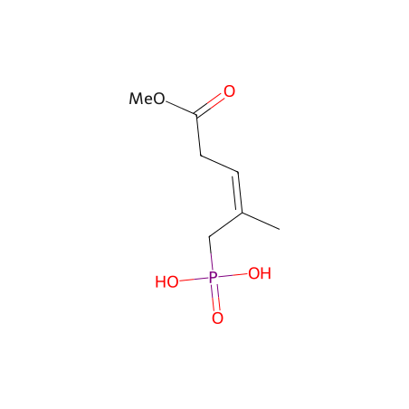 COC(=O)CC=C(C)CP(=O)(O)O